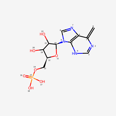 C=C1N=CNc2c1ncn2[C@H]1O[C@@H](COP(=O)(O)O)C(O)C1O